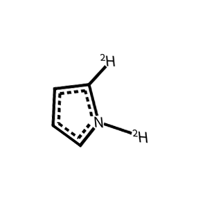 [2H]c1cccn1[2H]